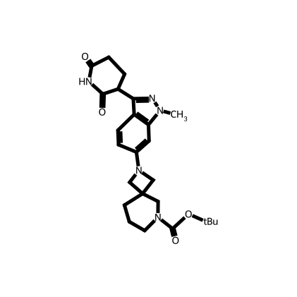 Cn1nc(C2CCC(=O)NC2=O)c2ccc(N3CC4(CCCN(C(=O)OC(C)(C)C)C4)C3)cc21